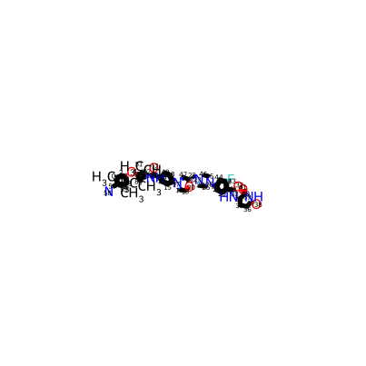 Cc1cc(OC2C(C)(C)C(NC(=O)c3ccc(N4CCO[C@@H](CN5CCN(c6ccc(C(=O)N[C@H]7CCC(=O)NC7=O)c(F)c6)CC5)C4)cc3)C2(C)C)cc(C)c1C#N